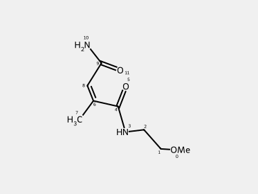 COCCNC(=O)/C(C)=C\C(N)=O